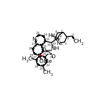 C=CC1CN2CCC1C[C@H]2[C@@H](NS(=O)(=O)c1cc(C)cc(C)c1)c1ccnc2ccc(OC)cc12